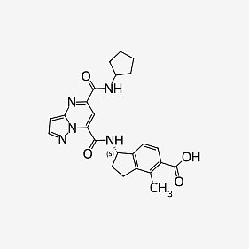 Cc1c(C(=O)O)ccc2c1CC[C@@H]2NC(=O)c1cc(C(=O)NC2CCCC2)nc2ccnn12